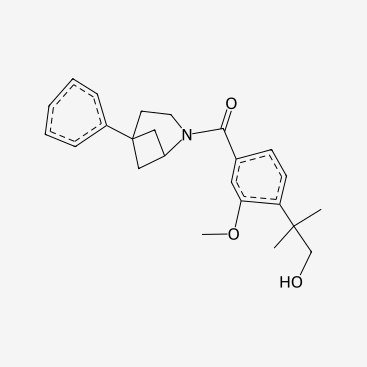 COc1cc(C(=O)N2CCC3(c4ccccc4)CC2C3)ccc1C(C)(C)CO